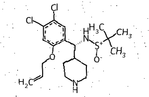 C=CCOc1cc(Cl)c(Cl)cc1[C@H](N[S+]([O-])C(C)(C)C)C1CCNCC1